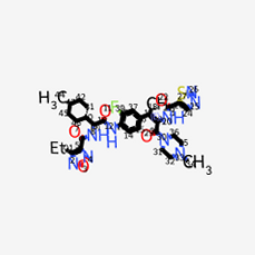 CCc1nonc1C(=O)N[C@H](C(=O)Nc1ccc(/C(C)=C(/NC(=O)c2cnns2)C(=O)N2CCN(C)CC2)cc1F)[C@H]1CC[C@H](C)CC1